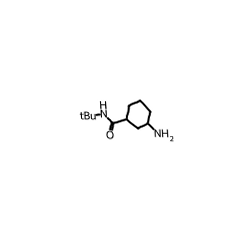 CC(C)(C)NC(=O)C1CCCC(N)C1